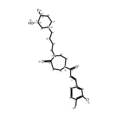 O=C(/C=C/c1ccc(F)c(Cl)c1)N1CCC(=O)N(CCCCN2CC[C@H](F)[C@@H](O)C2)CC1